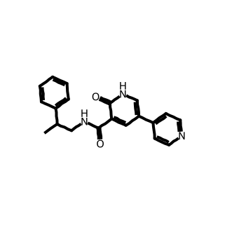 CC(CNC(=O)c1cc(-c2ccncc2)c[nH]c1=O)c1ccccc1